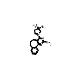 CC1(N)CCN(c2nc(N)nc3c2CCCc2ccccc2-3)C1